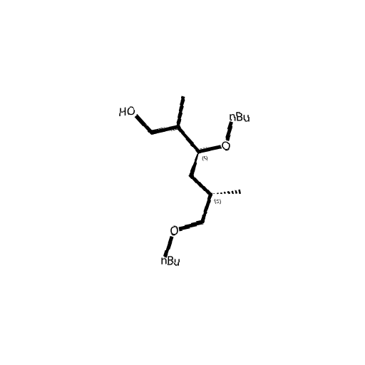 CCCCOC[C@@H](C)C[C@H](OCCCC)C(C)CO